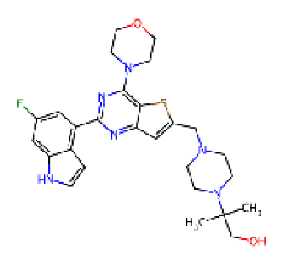 CC(C)(CO)N1CCN(Cc2cc3nc(-c4cc(F)cc5[nH]ccc45)nc(N4CCOCC4)c3s2)CC1